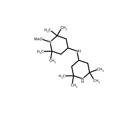 CON1C(C)(C)CC(NC2CC(C)(C)NC(C)(C)C2)CC1(C)C